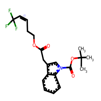 CC(C)(C)OC(=O)n1cc(CC(=O)OCC/C=C\C(F)(F)F)c2ccccc21